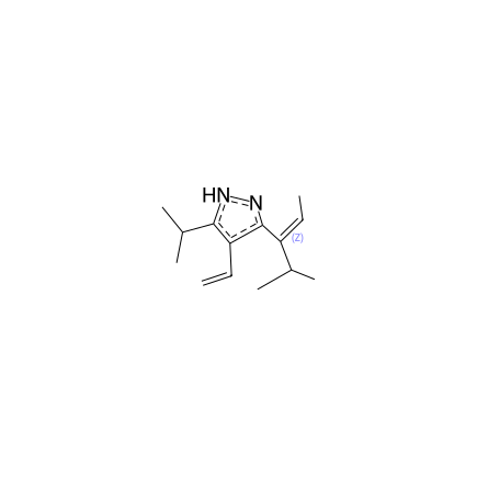 C=Cc1c(/C(=C\C)C(C)C)n[nH]c1C(C)C